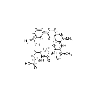 CC(NC(=O)C(NC(=O)C(C)Oc1ccc(-c2cccc(C(C)O)c2)cc1)C(C)C)C(=O)N1CCC[C@@H](C(=O)O)N1